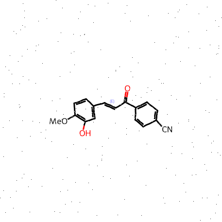 COc1ccc(/C=C/C(=O)c2ccc(C#N)cc2)cc1O